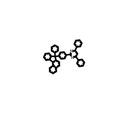 c1ccc(-c2cc(-c3ccccc3)nc(-c3ccc(C4(c5ccccc5)c5ccccc5-c5c4ccc4ccccc54)cc3)n2)cc1